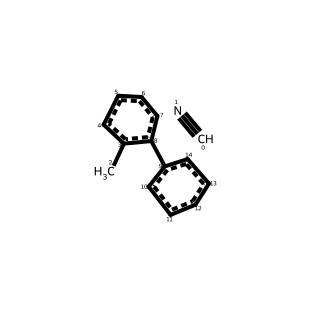 C#N.Cc1ccccc1-c1ccccc1